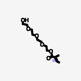 C/C=C(\C)C(=O)OCCOCCOCCOCCO